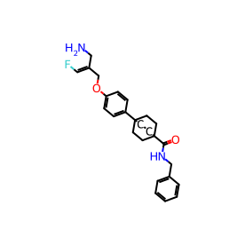 NCC(=CF)COc1ccc(C23CCC(C(=O)NCc4ccccc4)(CC2)CC3)cc1